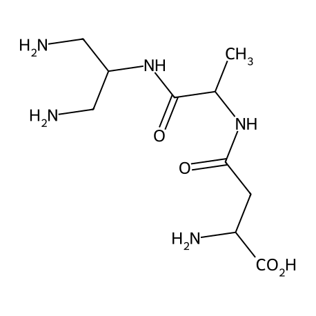 CC(NC(=O)CC(N)C(=O)O)C(=O)NC(CN)CN